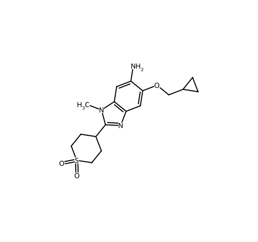 Cn1c(C2CCS(=O)(=O)CC2)nc2cc(OCC3CC3)c(N)cc21